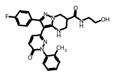 Cc1ccccc1-n1nc(-c2c(-c3ccc(F)cc3)nn3c2NCC(C(=O)NCCO)C3)ccc1=O